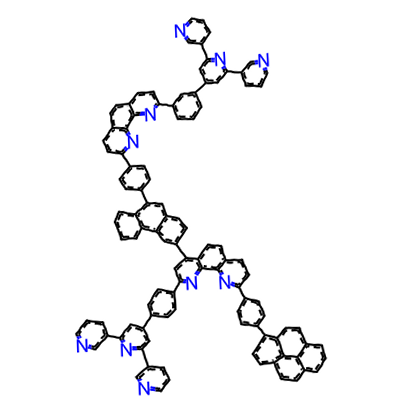 c1cncc(-c2cc(-c3ccc(-c4cc(-c5ccc6cc(-c7ccc(-c8ccc9ccc%10ccc(-c%11cccc(-c%12cc(-c%13cccnc%13)nc(-c%13cccnc%13)c%12)c%11)nc%10c9n8)cc7)c7ccccc7c6c5)c5ccc6ccc(-c7ccc(-c8ccc9ccc%10cccc%11ccc8c9c%10%11)cc7)nc6c5n4)cc3)cc(-c3cccnc3)n2)c1